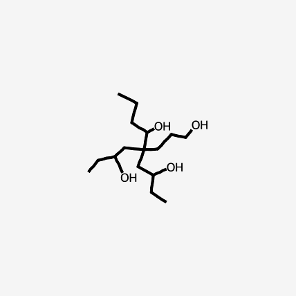 CCCC(O)C(CCCO)(CC(O)CC)CC(O)CC